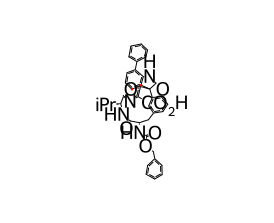 CC(C)[C@@H]1NC(=O)[C@@H](NC(=O)OCc2ccccc2)Cc2ccc3c(c2)C2(c4cccc(-c5ccccc5)c4NC2O3)c2oc1nc2C(=O)O